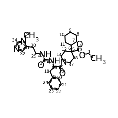 CCOC(=O)C1(C2CCCCC2)CCN(C(=O)[C@@H](Cc2ccccc2)NC(=O)NCCc2cncn2C)CC1